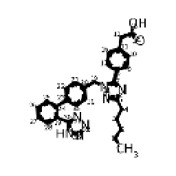 CCCCCc1nc(-c2ccc(CC(=O)O)cc2)n(Cc2ccc(-c3ccccc3-c3nnn[nH]3)cc2)n1